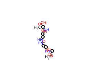 COC(=O)c1ccccc1NS(=O)(=O)c1ccc2cc(NC(=O)Nc3ccc4cc(S(=O)(=O)Nc5ccc(C(=O)O)c(C)c5)ccc4c3)ccc2c1